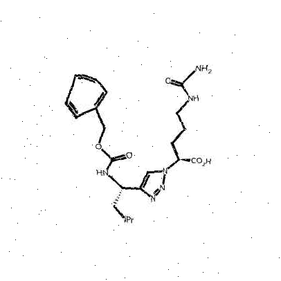 CC(C)C[C@H](NC(=O)OCc1ccccc1)c1cn([C@@H](CCCNC(N)=O)C(=O)O)nn1